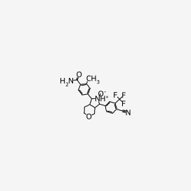 Cc1cc(C2C3CCOCC3C(c3ccc(C#N)c(C(F)(F)F)c3)[NH+]2[O-])ccc1C(N)=O